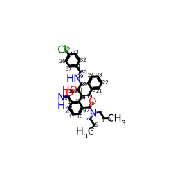 CCCN(CCC)C(=O)c1cccc(C(N)=O)c1[C@H](Cc1ccccc1)[C@@H](O)CNCc1ccc(Cl)cc1